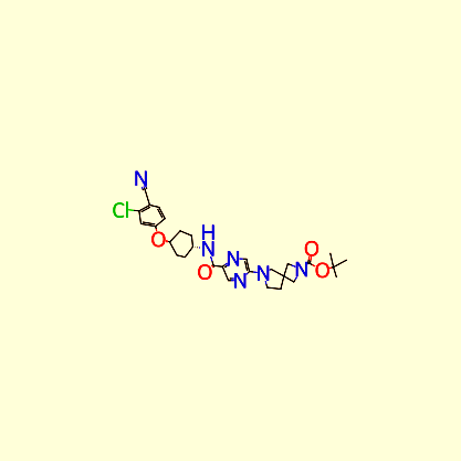 CC(C)(C)OC(=O)N1CC2(CCN(c3cnc(C(=O)N[C@H]4CC[C@H](Oc5ccc(C#N)c(Cl)c5)CC4)cn3)C2)C1